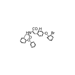 O=C(Cc1ccccc1Oc1ccccc1)NC(=Cc1ccc(Oc2ccccc2Br)cc1)C(=O)O